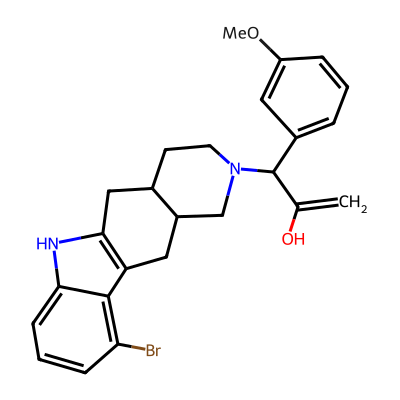 C=C(O)C(c1cccc(OC)c1)N1CCC2Cc3[nH]c4cccc(Br)c4c3CC2C1